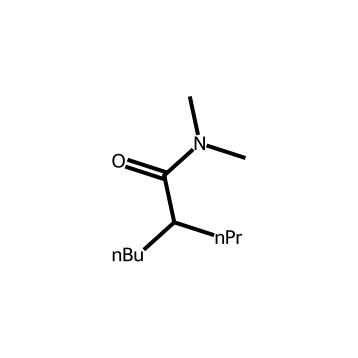 CCCCC(CCC)C(=O)N(C)C